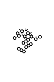 Cc1cccc(N(c2cc3oc4c(N(c5ccccc5)c5c6ccccc6cc6cc(-c7cccc8cc9ccccc9cc78)ccc56)ccc5c6cc(-c7cccc(C8CCCCC8)n7)cc7oc8cc(C(C)(C)C)cc(c(c2)c3c45)c8c76)c2ccc(-c3ccccc3)c3ccccc23)c1